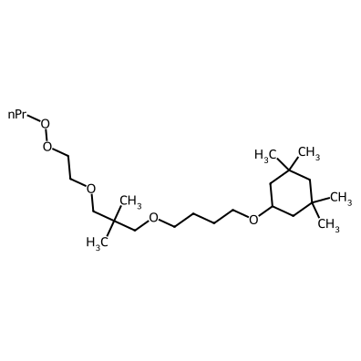 CCCOOCCOCC(C)(C)COCCCCOC1CC(C)(C)CC(C)(C)C1